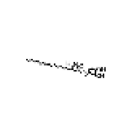 CCCCCCCCCCCCCCCCCCN(CCSc1ccc(O)c(O)c1)C(N)=O